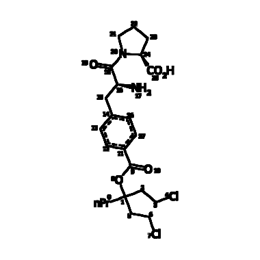 CCCC(CCCl)(CCCl)OC(=O)c1ccc(C[C@H](N)C(=O)N2CCC[C@H]2C(=O)O)cc1